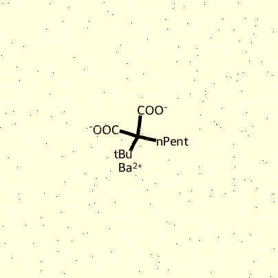 CCCCCC(C(=O)[O-])(C(=O)[O-])C(C)(C)C.[Ba+2]